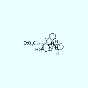 CCOC(=O)CC/C(=N\O)c1nc2ccccc2n([C@@H]2C[C@@H]3CCC[C@H]2N3C2CC3CCCCC(C3)C2)c1=O